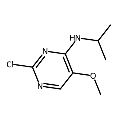 COc1cnc(Cl)nc1NC(C)C